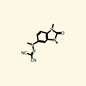 CN(N=C(C#N)C#N)c1ccc2c(c1)n(C)c(=O)n2C